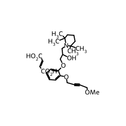 COCC#CCOc1ccccc1OCC(O)CN1C(C)(C)CCCC1(C)C.O=C(O)/C=C/C(=O)O